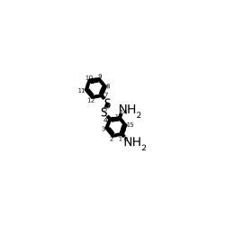 Nc1ccc(SSc2ccccc2)c(N)c1